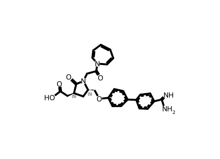 N=C(N)c1ccc(-c2ccc(OC[C@@H]3C[C@@H](CC(=O)O)C(=O)N3CC(=O)N3C=CC=CC=C3)cc2)cc1